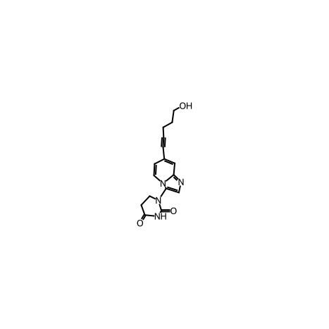 O=C1CCN(c2cnc3cc(C#CCCCO)ccn23)C(=O)N1